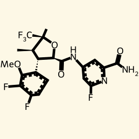 COc1c([C@@H]2[C@@H](C)[C@@](C)(C(F)(F)F)O[C@H]2C(=O)Nc2cc(F)nc(C(N)=O)c2)ccc(F)c1F